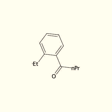 C[CH]c1ccccc1C(=O)CCC